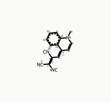 [C-]#[N+]/C(C#N)=C(\C=C1\C=CN(C)c2ccccc21)[N+]#[C-]